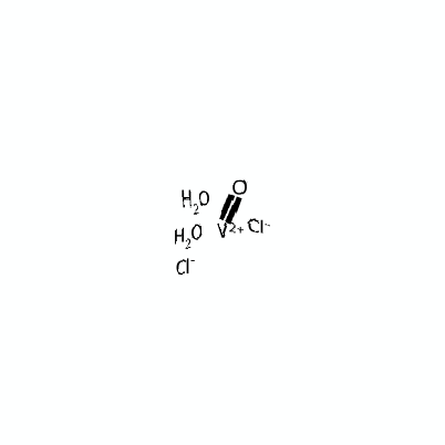 O.O.[Cl-].[Cl-].[O]=[V+2]